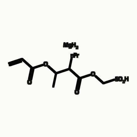 C=CC(=O)OC(C)C(CCC)C(=O)OCS(=O)(=O)O.[MgH2]